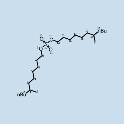 CCCCC(C)CCCCCCOS(=O)(=O)OCCCCCCC(C)CCCC